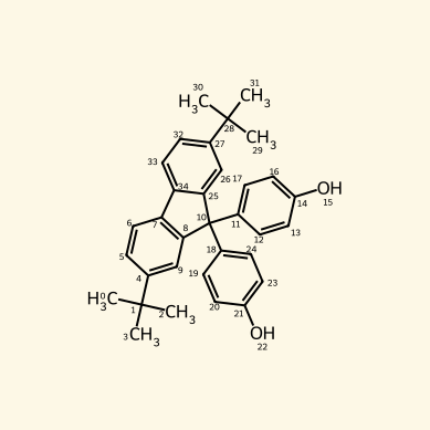 CC(C)(C)c1ccc2c(c1)C(c1ccc(O)cc1)(c1ccc(O)cc1)c1cc(C(C)(C)C)ccc1-2